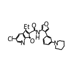 CCC1=C(C(=O)Nc2cocc2-c2cccc(N3CCCCC3)c2)C(=O)c2ncc(Cl)cc21